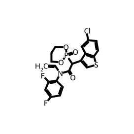 C=CN(C(=O)C(c1csc2ccc(Cl)cc12)P1(=O)OCCCO1)c1ccc(F)cc1F